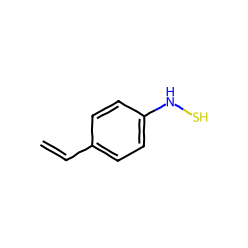 C=Cc1ccc(NS)cc1